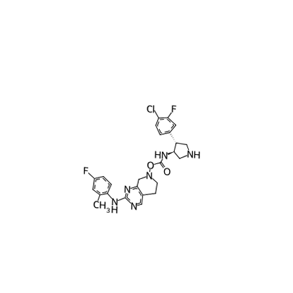 Cc1cc(F)ccc1Nc1ncc2c(n1)CN(OC(=O)N[C@@H]1CNC[C@H]1c1ccc(Cl)c(F)c1)CC2